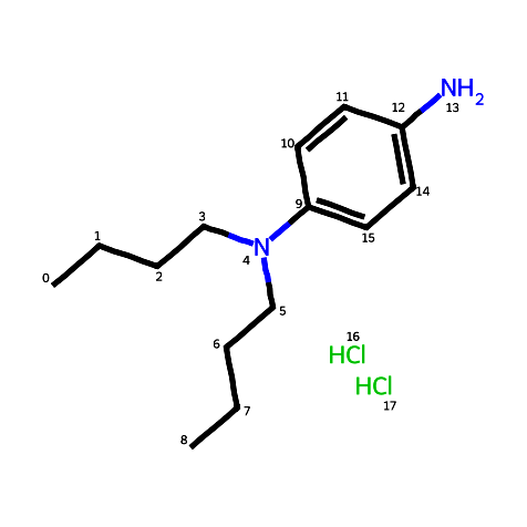 CCCCN(CCCC)c1ccc(N)cc1.Cl.Cl